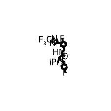 CC(C)N(CC(=O)NCc1ccc(F)c(-c2cnc(C(F)(F)F)nc2)c1)Sc1ccc(F)cc1